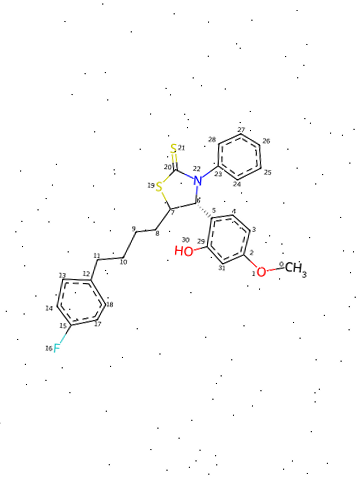 COc1ccc([C@@H]2C(CCCCc3ccc(F)cc3)SC(=S)N2c2ccccc2)c(O)c1